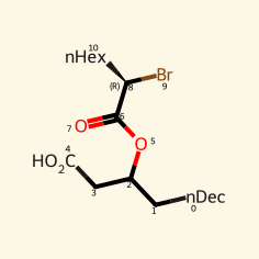 CCCCCCCCCCCC(CC(=O)O)OC(=O)[C@H](Br)CCCCCC